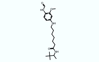 COc1cc(NCCCCCCC(=O)NC(C)C(C)(C)C)ccc1NC=O